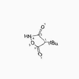 CC(C)(C)C1C(=O)NOC1=O